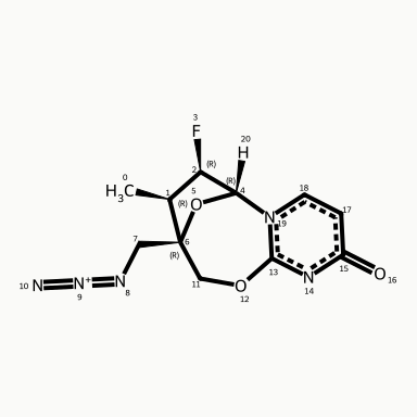 C[C@H]1[C@@H](F)[C@H]2O[C@]1(CN=[N+]=[N-])COc1nc(=O)ccn12